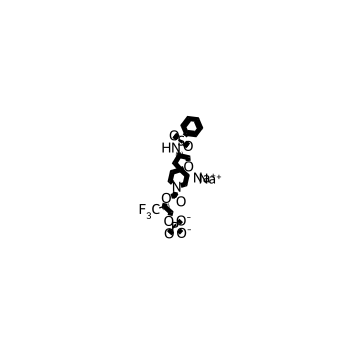 O=C(O[C@H](COP(=O)([O-])[O-])C(F)(F)F)N1CCC2(CC1)C[C@@H](NS(=O)(=O)c1ccccc1)CO2.[Na+].[Na+]